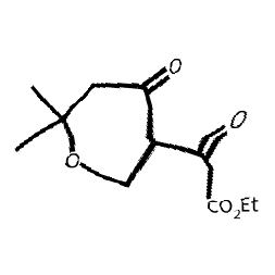 CCOC(=O)C(=O)C1COC(C)(C)CC1=O